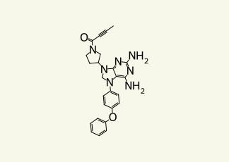 CC#CC(=O)N1CCC(N2CN(c3ccc(Oc4ccccc4)cc3)c3c(N)nc(N)nc32)C1